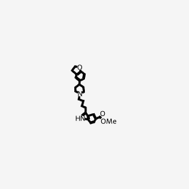 COC(=O)c1ccc2[nH]cc(CCCCN3CCC(c4ccc5c(c4)CCO5)CC3)c2c1